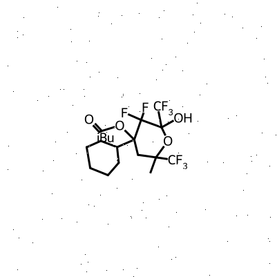 CCC(C)C(=O)OC1(C2CCCCC2)CC(C)(C(F)(F)F)OC(O)(C(F)(F)F)C1(F)F